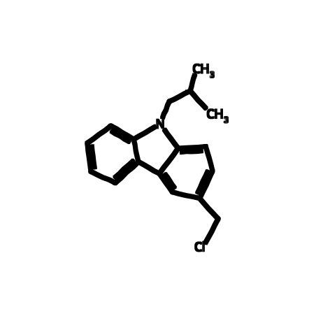 C[C](C)Cn1c2ccccc2c2cc(CCl)ccc21